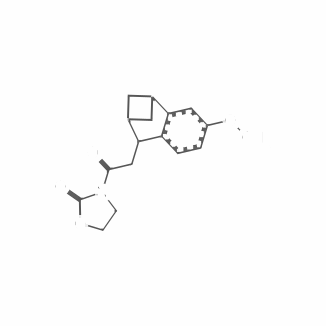 COc1ccc2c(c1)C1CC(C1)C2CC(=O)N1CCOC1=O